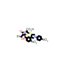 CC[C@H](O)[C@@H]1C(=O)N2C(C(=O)O)=C(SC3CCN(c4ccc([N+](=O)[O-])cc4)C3)S[C@]12Cc1ccc([N+](=O)[O-])cc1